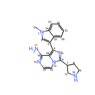 Cn1cc(-c2nc(C3CCNC3)n3ccnc(N)c23)c2ccccc21